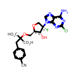 N#Cc1ccc(CC(OC[C@H]2OC[C@@](F)(n3cnc4c(N)nc(Cl)nc43)[C@@H]2O)(C(=O)O)C(=O)O)cc1